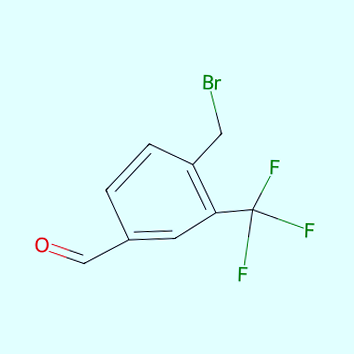 O=Cc1ccc(CBr)c(C(F)(F)F)c1